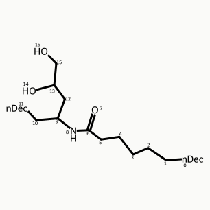 CCCCCCCCCCCCCCCC(=O)NC(CCCCCCCCCCC)CC(O)CO